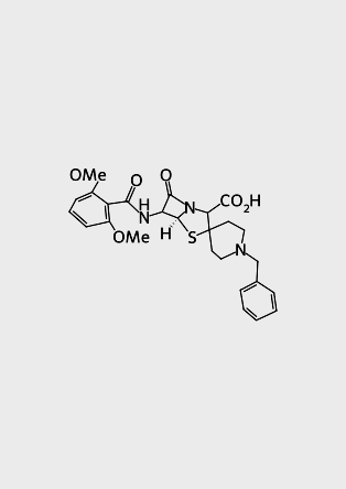 COc1cccc(OC)c1C(=O)NC1C(=O)N2C(C(=O)O)C3(CCN(Cc4ccccc4)CC3)S[C@@H]12